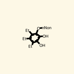 CCCCCCCCCOc1c(O)c(O)c(CC)c(CC)c1CC